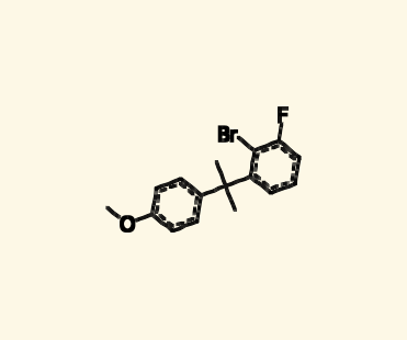 COc1ccc(C(C)(C)c2cccc(F)c2Br)cc1